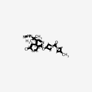 CC1CN(C(=O)N2CC(Oc3ncc(C(C)(C)N=[N+]=[N-])c4cc(Cl)ncc34)C2)C1